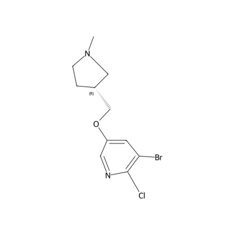 CN1CC[C@@H](COc2cnc(Cl)c(Br)c2)C1